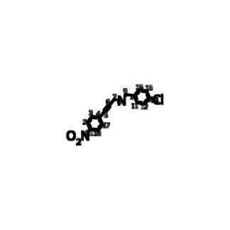 O=[N+]([O-])c1ccc(C#CCN=Cc2ccc(Cl)cc2)cc1